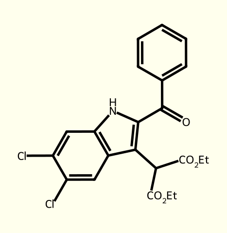 CCOC(=O)C(C(=O)OCC)c1c(C(=O)c2ccccc2)[nH]c2cc(Cl)c(Cl)cc12